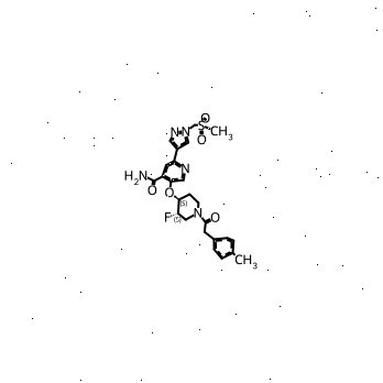 Cc1ccc(CC(=O)N2CC[C@H](Oc3cnc(-c4cnn(CS(C)(=O)=O)c4)cc3C(N)=O)[C@@H](F)C2)cc1